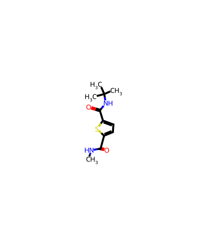 CNC(=O)c1ccc(C(=O)NC(C)(C)C)s1